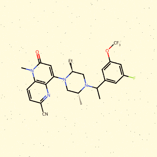 CC[C@H]1CN(C(C)c2cc(F)cc(OC(F)(F)F)c2)[C@H](C)CN1c1cc(=O)n(C)c2ccc(C#N)nc12